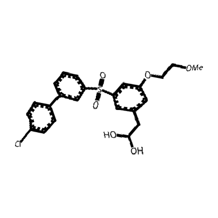 COCCOc1cc(CC(O)O)cc(S(=O)(=O)c2cccc(-c3ccc(Cl)cc3)c2)c1